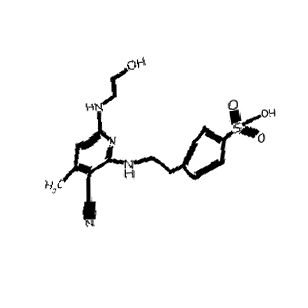 Cc1cc(NCCO)nc(NCCc2ccc(S(=O)(=O)O)cc2)c1C#N